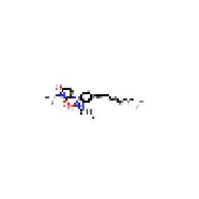 CN1C(=O)CCC(n2c(=O)n(C)c3cc(C#CCCCCC(=O)O)ccc32)C1=O